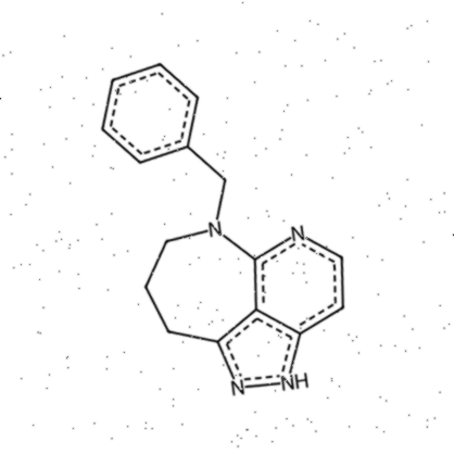 c1ccc(CN2CCCc3n[nH]c4ccnc2c34)cc1